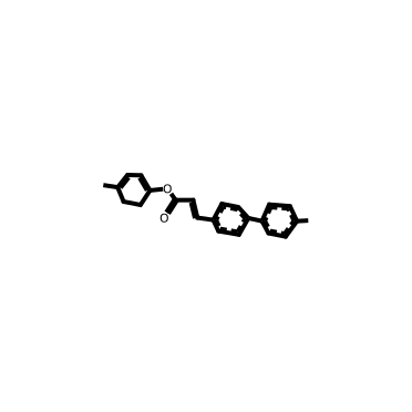 CC1=CC=C(OC(=O)/C=C/c2ccc(-c3ccc(C)cc3)cc2)CC1